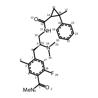 CNC(=O)c1cc(C)c(C[C@@H](CNC(=O)C2CC2(C)c2ccccc2)N(C)C)cc1F